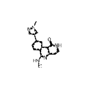 CCNc1nc2cc[nH]c(=O)c2c2cc(-c3cnn(C)c3)ccc12